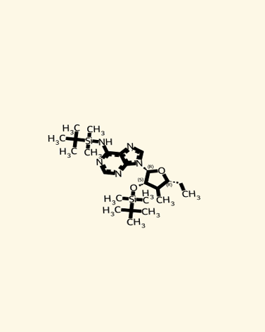 CC[C@H]1O[C@@H](n2cnc3c(N[Si](C)(C)C(C)(C)C)ncnc32)[C@@H](O[Si](C)(C)C(C)(C)C)C1C